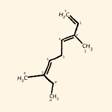 C=CC(C)=CCC=C(C)CC